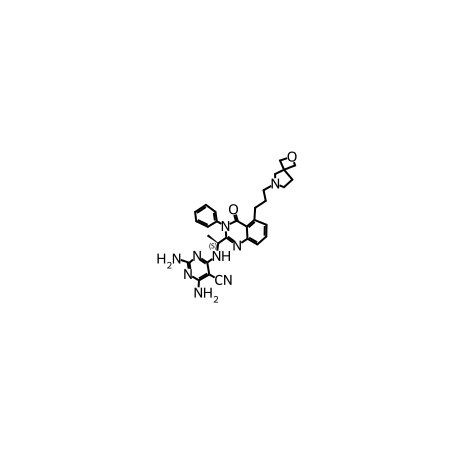 C[C@H](Nc1nc(N)nc(N)c1C#N)c1nc2cccc(CCCN3CCC4(COC4)C3)c2c(=O)n1-c1ccccc1